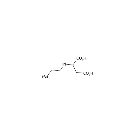 CC(C)(C)CCNC(CC(=O)O)C(=O)O